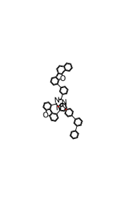 c1ccc(-c2cccc(-c3ccc(-c4nc(-c5cccc(-c6cccc7c6oc6c8ccccc8ccc76)c5)nc(-c5cccc6oc7cccc(-c8ccccc8)c7c56)n4)cc3)c2)cc1